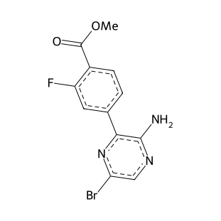 COC(=O)c1ccc(-c2nc(Br)cnc2N)cc1F